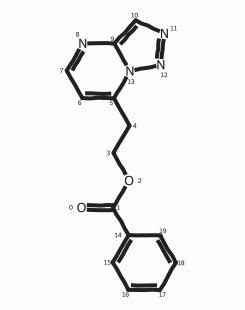 O=C(OCCc1ccnc2cnnn12)c1ccccc1